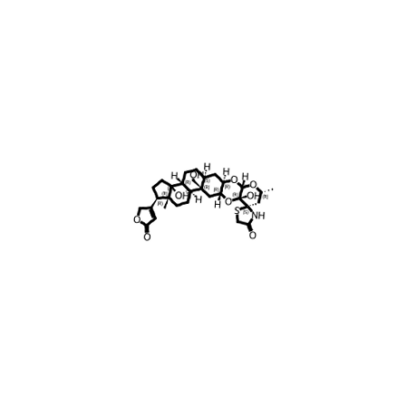 C[C@@H]1C[C@@]2(NC(=O)CS2)[C@]2(O)O[C@@H]3C[C@@]4(CO)[C@@H](CC[C@@H]5[C@@H]4CC[C@]4(C)[C@@H](C6=CC(=O)OC6)CC[C@]54O)C[C@H]3O[C@@H]2O1